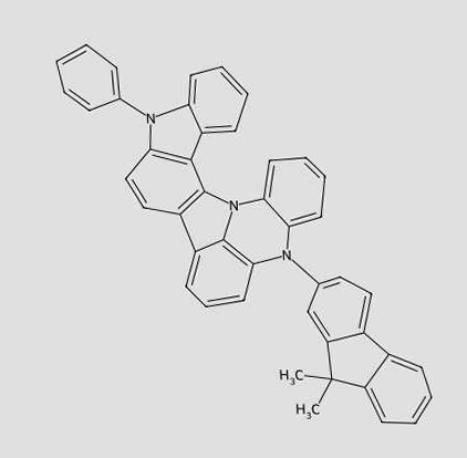 CC1(C)c2ccccc2-c2ccc(N3c4ccccc4-n4c5c3cccc5c3ccc5c(c6ccccc6n5-c5ccccc5)c34)cc21